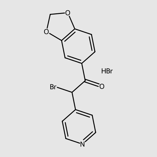 Br.O=C(c1ccc2c(c1)OCO2)C(Br)c1ccncc1